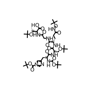 C[C@@H](OC(C)(C)C)[C@H](NC(=O)CNC(=O)[C@H](CCC(=O)NOC(C)(C)C)NC(=O)[C@@H](COC(C)(C)C)NC(=O)[C@H](Cc1cn(C(=O)OC(C)(C)C)cn1)NC(=O)OC(C)(C)C)C(=O)O